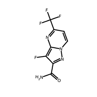 NC(=O)c1nn2ccc(C(F)(F)F)nc2c1F